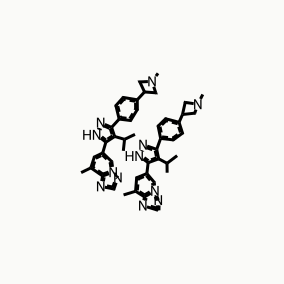 Cc1cc(-c2[nH]nc(-c3ccc(C4CN(C)C4)cc3)c2C(C)C)cn2ncnc12.Cc1cc(-c2[nH]nc(-c3ccc(C4CN(C)C4)cc3)c2C(C)C)cn2ncnc12